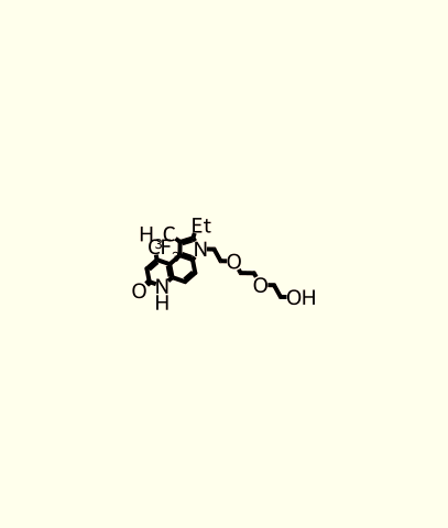 CCc1c(C)c2c3c(C(F)(F)F)cc(=O)[nH]c3ccc2n1CCOCCOCCO